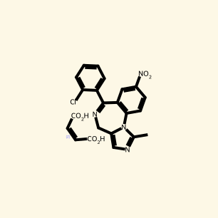 Cc1ncc2n1-c1ccc([N+](=O)[O-])cc1C(c1ccccc1Cl)=NC2.O=C(O)/C=C\C(=O)O